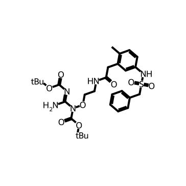 Cc1ccc(NS(=O)(=O)Cc2ccccc2)cc1CC(=O)NCCON(C(=O)OC(C)(C)C)C(N)=NC(=O)OC(C)(C)C